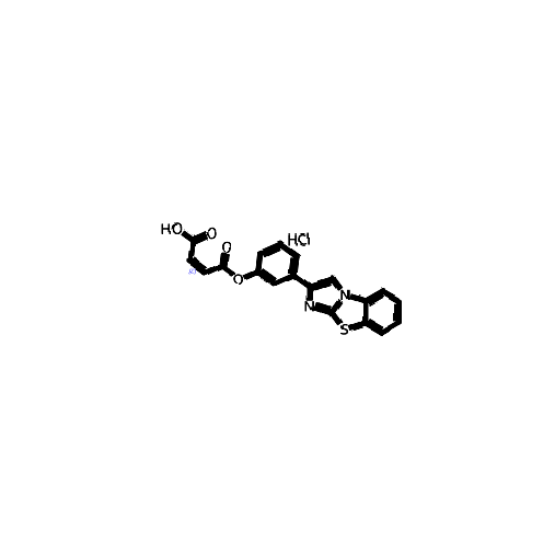 Cl.O=C(O)/C=C\C(=O)Oc1cccc(-c2cn3c(n2)sc2ccccc23)c1